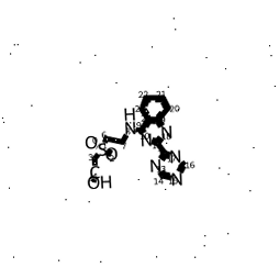 O=S(=O)(CCO)CCNc1nc(-c2ncncn2)nc2ccccc12